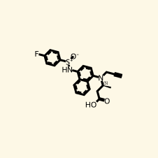 C#CCN(c1ccc(N[S+]([O-])c2ccc(F)cc2)c2ccccc12)[C@@H](C)CC(=O)O